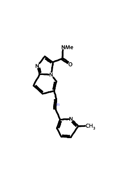 CNC(=O)c1cnc2ccc(/C=C/c3cccc(C)n3)cn12